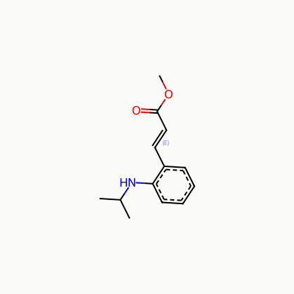 COC(=O)/C=C/c1ccccc1NC(C)C